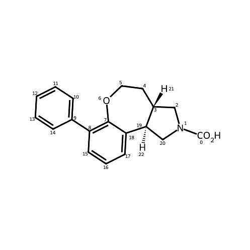 O=C(O)N1C[C@H]2CCOc3c(-c4ccccc4)cccc3[C@@H]2C1